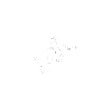 COc1cc2c(cc1-c1c(C)noc1C)[nH]c1nc(C)nc(Nc3cc(C4CC4)nn3C3CN(C(=O)O)C3)c12